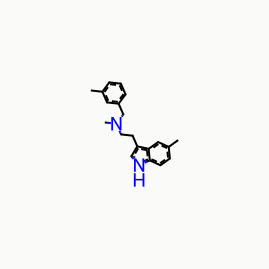 Cc1cccc(CN(C)CCc2c[nH]c3ccc(C)cc23)c1